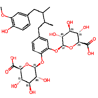 COc1cc(CC(C)C(C)Cc2ccc(O[C@@H]3O[C@H](C(=O)O)[C@@H](O)[C@H](O)[C@H]3O)c(O[C@@H]3O[C@H](C(=O)O)[C@@H](O)[C@H](O)[C@H]3O)c2)ccc1O